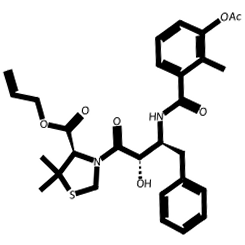 C=CCOC(=O)[C@H]1N(C(=O)[C@@H](O)[C@H](Cc2ccccc2)NC(=O)c2cccc(OC(C)=O)c2C)CSC1(C)C